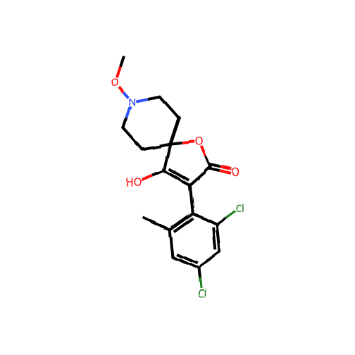 CON1CCC2(CC1)OC(=O)C(c1c(C)cc(Cl)cc1Cl)=C2O